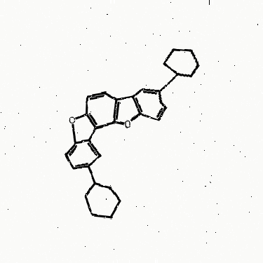 c1cc2oc3c(ccc4oc5ccc(C6CCCCC6)cc5c43)c2cc1C1CCCCC1